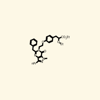 CCCc1nn(C)c2c(=O)n(CCOc3ccc(CC(OCC)C(=O)OCC)cc3)c(Cc3ccccc3)nc12